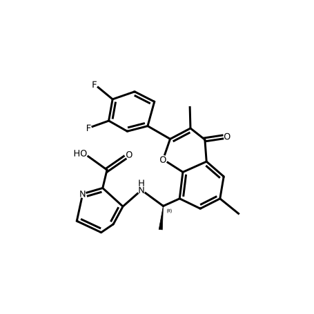 Cc1cc([C@@H](C)Nc2cccnc2C(=O)O)c2oc(-c3ccc(F)c(F)c3)c(C)c(=O)c2c1